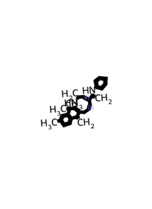 C=C1/C=C(C(=C)Nc2ccccc2)\C=C/CC2=C(N1)C(C)(C)c1cc(C)ccc1C2=C